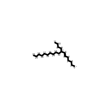 [CH2]CCCC/C=C/C(CCCC)CCCCCCCCCC